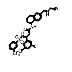 CC(C)CNCc1ccc2c(c1)CCC[C@H]2NC(=O)CC(NS(=O)(=O)c1cccc(C(F)(F)F)c1)c1cc(Cl)cc(Cl)c1